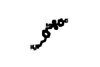 NCCCc1ccc(CCNS(=O)(=O)c2ccc(Cl)cc2)cc1